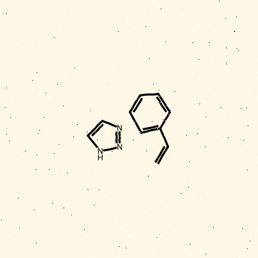 C=Cc1ccccc1.c1c[nH]nn1